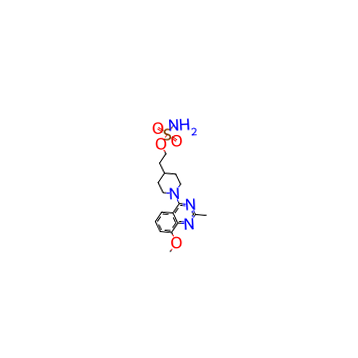 COc1cccc2c(N3CCC(CCOS(N)(=O)=O)CC3)nc(C)nc12